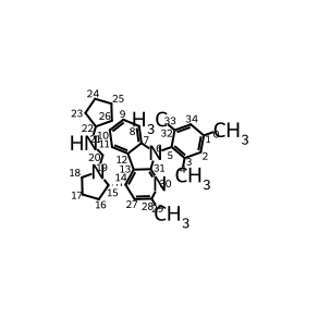 Cc1cc(C)c(-n2c3ccccc3c3c([C@@H]4CCCN4CNC4CCCC4)cc(C)nc32)c(C)c1